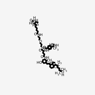 C=C1/C(=C\C=C2/CCC[C@]3(C)[C@@H]([C@H](C)CCCC(C)(C)O)CC[C@@H]23)C[C@@H](O)CC1NC(=O)CCC(NC(=O)c1ccc(C2(C(F)(F)F)NN2)cc1)C(=O)NCCCOCCCNC(=O)CCCCC1SC[C@@H]2NC(=O)N[C@H]12